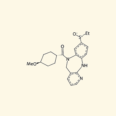 CC[S+]([O-])c1ccc2c(c1)N(C(=O)[C@H]1CC[C@H](OC)CC1)Cc1cccnc1N2